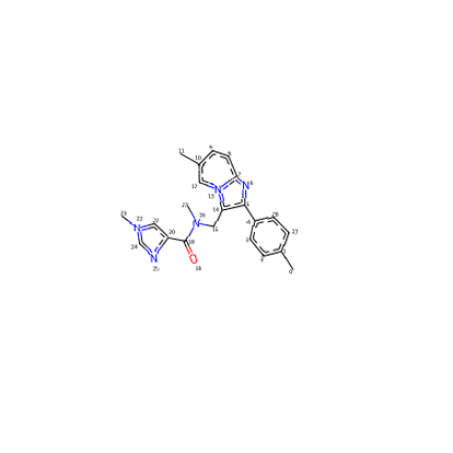 Cc1ccc(-c2nc3ccc(C)cn3c2CN(C)C(=O)c2cn(C)cn2)cc1